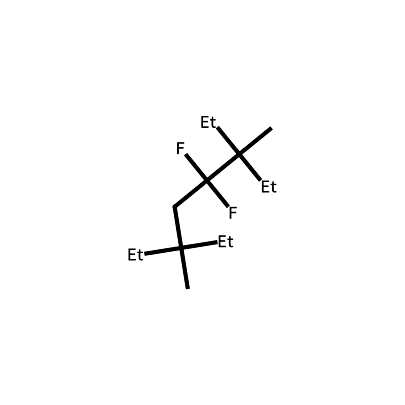 CCC(C)(CC)CC(F)(F)C(C)(CC)CC